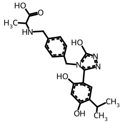 CC(NCc1ccc(Cn2c(O)nnc2-c2cc(C(C)C)c(O)cc2O)cc1)C(=O)O